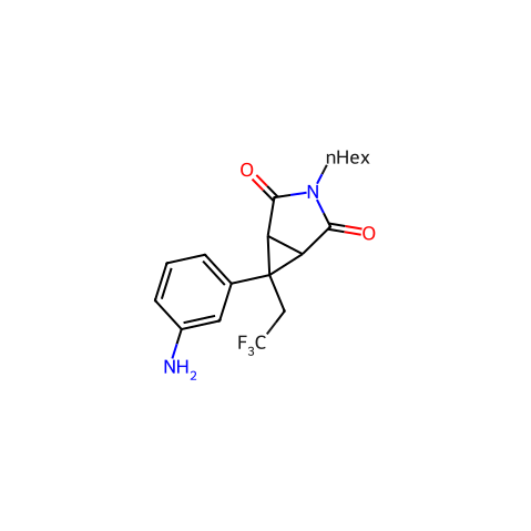 CCCCCCN1C(=O)C2C(C1=O)C2(CC(F)(F)F)c1cccc(N)c1